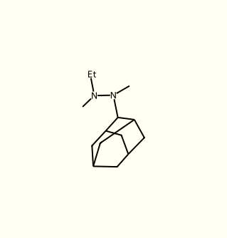 CCN(C)N(C)C1C2CC3CC(C2)CC1C3